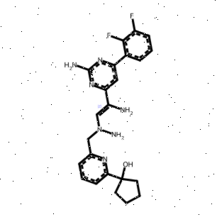 N/C(=C\N(N)Cc1cccc(C2(O)CCCC2)n1)c1cc(-c2cccc(F)c2F)nc(N)n1